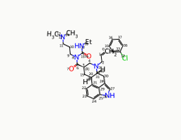 C=CCN1C[C@H](C(=O)N(CCCN(C)C)C(=O)NCC)C[C@@H]2c3cccc4[nH]cc(c34)C[C@H]21.Clc1ccccc1